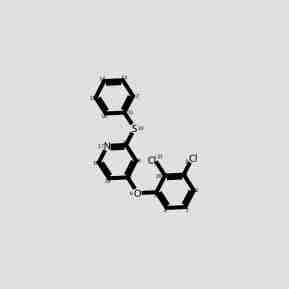 Clc1cccc(Oc2[c]c(Sc3ccccc3)ncc2)c1Cl